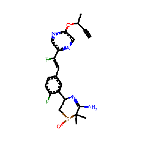 C#CC(C)Oc1cnc(/C(F)=C/c2ccc(F)c(C3C[S+]([O-])C(C)(C)C(N)=N3)c2)cn1